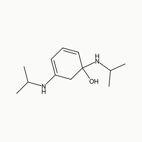 CC(C)NC1=CC=CC(O)(NC(C)C)C1